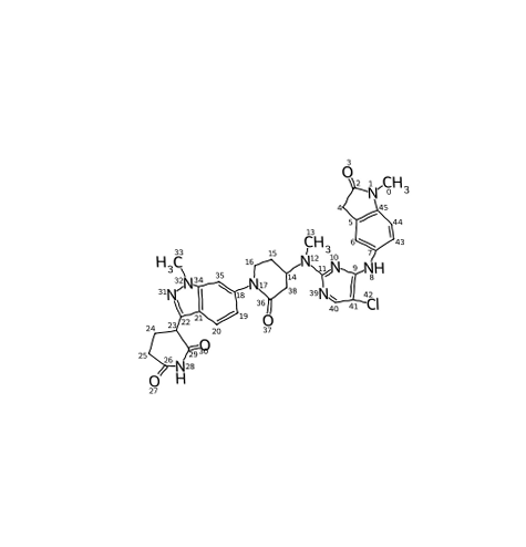 CN1C(=O)Cc2cc(Nc3nc(N(C)C4CCN(c5ccc6c(C7CCC(=O)NC7=O)nn(C)c6c5)C(=O)C4)ncc3Cl)ccc21